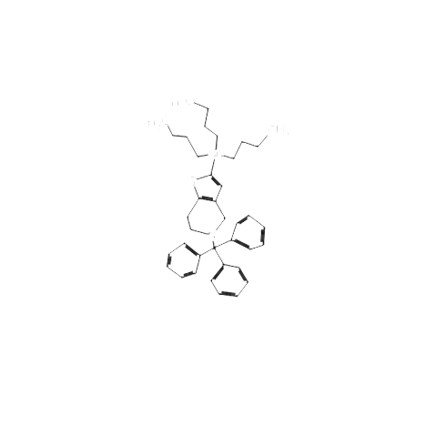 CCC[CH2][Sn]([CH2]CCC)([CH2]CCC)[c]1cc2c(s1)CCN(C(c1ccccc1)(c1ccccc1)c1ccccc1)C2